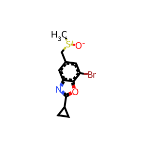 C[S+]([O-])Cc1cc(Br)c2oc(C3CC3)nc2c1